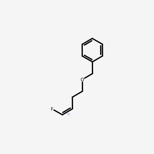 F/C=C\CCOCc1ccccc1